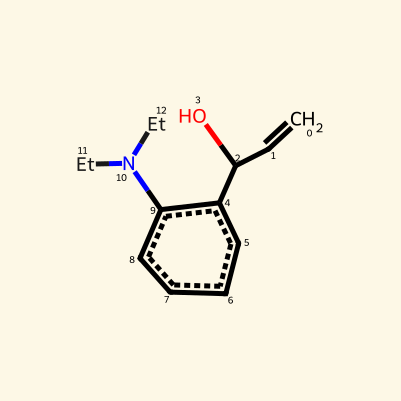 C=CC(O)c1ccccc1N(CC)CC